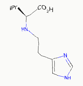 CC(C)[C@H](NCCc1c[nH]cn1)C(=O)O